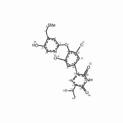 CSCc1cc(Oc2c(Cl)cc(-n3nc(C(F)F)c(=O)[nH]c3=O)cc2Cl)ncc1O